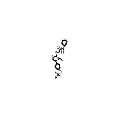 CCn1c(SCC(=O)Nc2ccccc2)nnc1-c1ccc(OC(F)(F)F)cc1